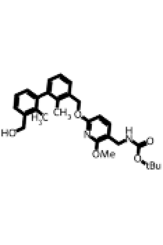 COc1nc(OCc2cccc(-c3cccc(CO)c3C)c2C)ccc1CNC(=O)OC(C)(C)C